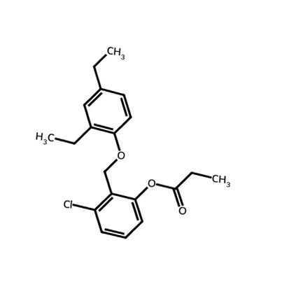 CCC(=O)Oc1cccc(Cl)c1COc1ccc(CC)cc1CC